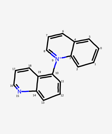 c1ccc2c(c1)ccc[n+]2-c1cccc2ncccc12